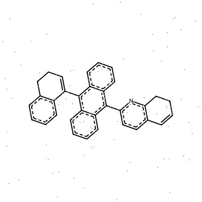 C1=Cc2ccc(-c3c4ccccc4c(C4=CCCc5ccccc54)c4ccccc34)nc2CC1